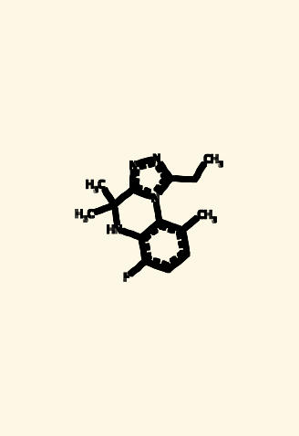 CCc1nnc2n1-c1c(C)ccc(F)c1NC2(C)C